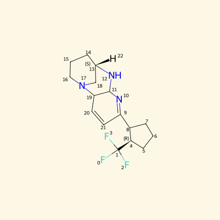 FC(F)(F)[C@@H]1CCCC1C1=NC2N[C@H]3CCCN(C3)C2C=C1